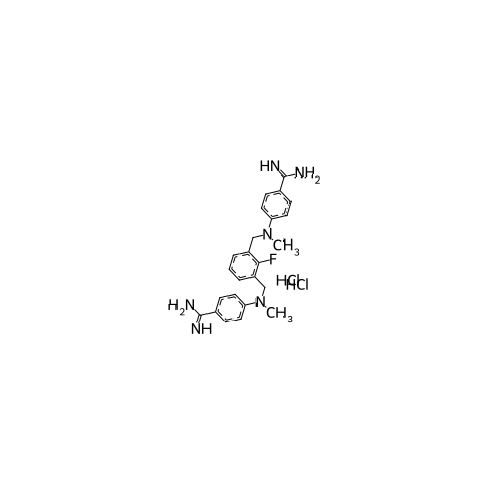 CN(Cc1cccc(CN(C)c2ccc(C(=N)N)cc2)c1F)c1ccc(C(=N)N)cc1.Cl.Cl